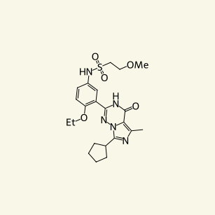 CCOc1ccc(NS(=O)(=O)CCOC)cc1-c1nn2c(C3CCCC3)nc(C)c2c(=O)[nH]1